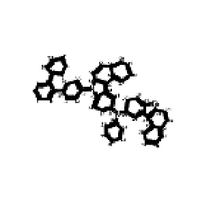 c1ccc(-c2ccccc2-c2ccc(-n3c4ccc(N(c5ccccc5)c5ccc6oc7ccc8ccccc8c7c6c5)cc4c4c5ccccc5ccc43)cc2)cc1